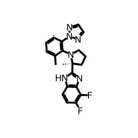 Cc1cc[c]c(-n2nccn2)c1N1CCC[C@@]1(C)c1nc2c(F)c(F)ccc2[nH]1